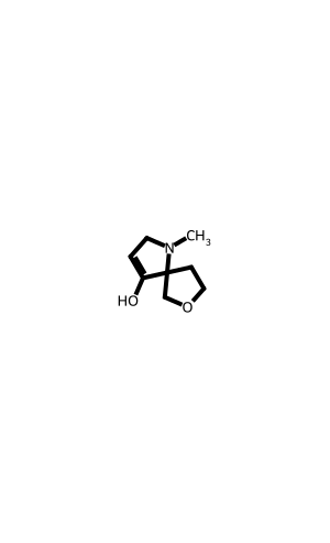 CN1CC=C(O)C12CCOC2